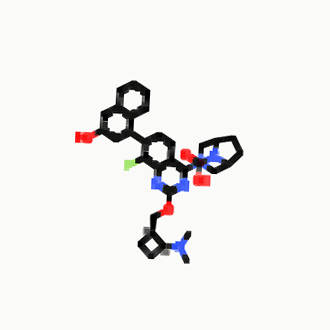 CN(C)[C@H]1CC[C@H]1COc1nc(N2CC3CCC(C2)N3C(=O)O)c2ccc(-c3cc(O)cc4ccccc34)c(F)c2n1